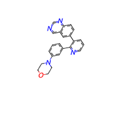 c1cc(-c2ncccc2-c2ccc3ncncc3c2)cc(N2CCOCC2)c1